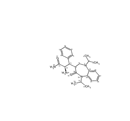 CC(C)N1CC(C(c2ccccc2)[C@@H](N)C(N)=O)C(=O)N(C(C)C)c2ccccc21